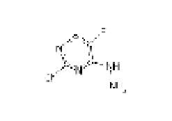 NNc1nc(Cl)ncc1F